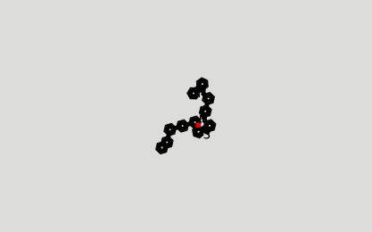 c1cc(-c2ccc(-c3ccc(N(c4ccc(-c5cccc(-n6c7ccccc7c7ccccc76)c5)cc4)c4cccc5sc6ccccc6c45)cc3)cc2)cc(-c2ccc3ccccc3c2)c1